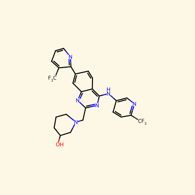 OC1CCCN(Cc2nc(Nc3ccc(C(F)(F)F)nc3)c3ccc(-c4ncccc4C(F)(F)F)cc3n2)C1